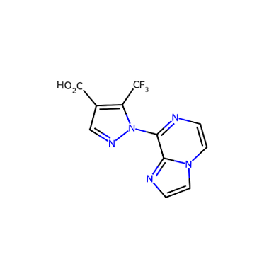 O=C(O)c1cnn(-c2nccn3ccnc23)c1C(F)(F)F